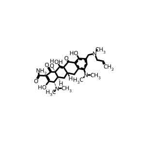 C=CCN(C)Cc1cc(N(C)C)c2c(c1O)C(=O)C1=C(O)[C@]3(O)C(=O)C(C(N)=O)=C(O)[C@@H](N(C)C)[C@@H]3C[C@H]1C2